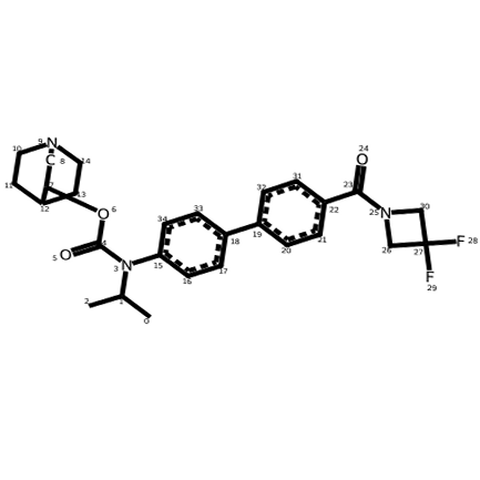 CC(C)N(C(=O)OC1CN2CCC1CC2)c1ccc(-c2ccc(C(=O)N3CC(F)(F)C3)cc2)cc1